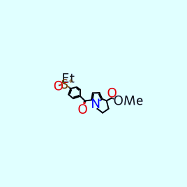 CC[S+]([O-])c1ccc(C(=O)c2ccc3n2CCCC3C(=O)OC)cc1